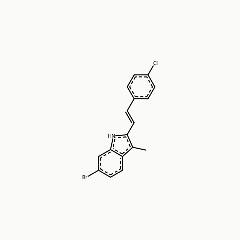 Cc1c(/C=C/c2ccc(Cl)cc2)[nH]c2cc(Br)ccc12